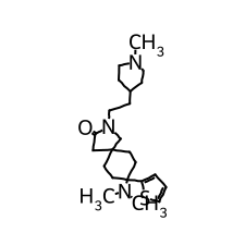 CN1CCC(CCN2CC3(CCC(c4cccs4)(N(C)C)CC3)CC2=O)CC1